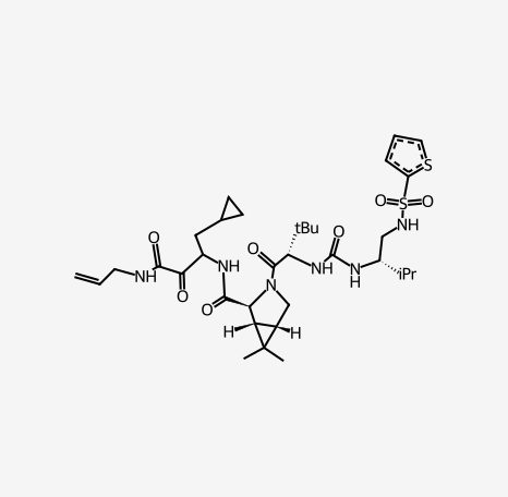 C=CCNC(=O)C(=O)C(CC1CC1)NC(=O)[C@@H]1[C@@H]2[C@H](CN1C(=O)[C@@H](NC(=O)N[C@H](CNS(=O)(=O)c1cccs1)C(C)C)C(C)(C)C)C2(C)C